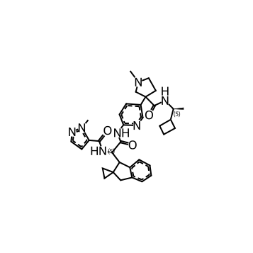 C[C@H](NC(=O)C1(c2ccc(NC(=O)[C@@H](NC(=O)c3ccnn3C)C3c4ccccc4CC34CC4)nc2)CCN(C)C1)C1CCC1